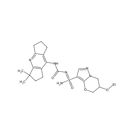 CCOC1COc2c(S(N)(=O)=NC(=O)Nc3c4c(nc5c3CCC5(C)C)CCC4)cnn2C1